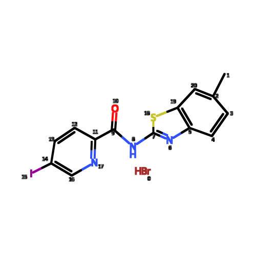 Br.Cc1ccc2nc(NC(=O)c3ccc(I)cn3)sc2c1